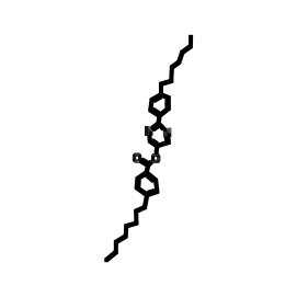 CCCCCCCCc1ccc(C(=O)Oc2cnc(-c3ccc(CCCCCCC)cc3)nc2)cc1